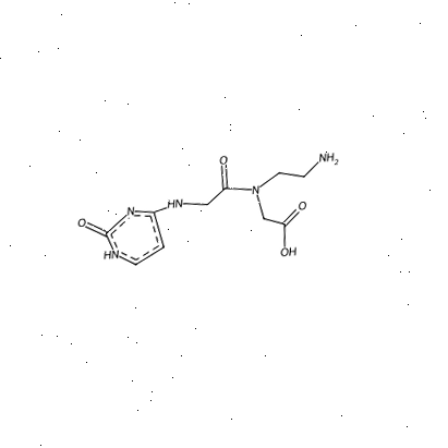 NCCN(CC(=O)O)C(=O)CNc1cc[nH]c(=O)n1